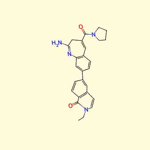 CCn1ccc2cc(-c3ccc4c(c3)N=C(N)CC(C(=O)N3CCCC3)=C4)ccc2c1=O